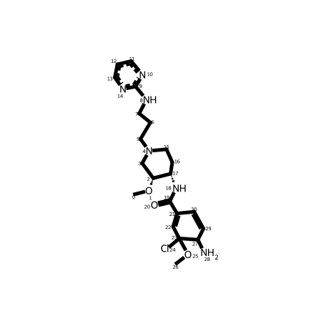 CO[C@@H]1CN(CCCNc2ncccn2)CC[C@@H]1NC(=O)C1=CC(Cl)(OC)C(N)C=C1